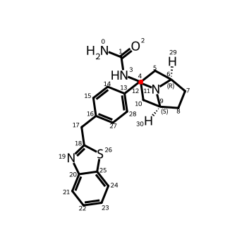 NC(=O)NC1C[C@H]2CC[C@@H](C1)N2Cc1ccc(Cc2nc3ccccc3s2)cc1